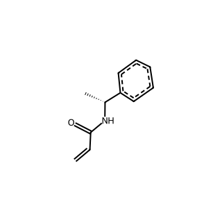 C=CC(=O)N[C@H](C)c1ccccc1